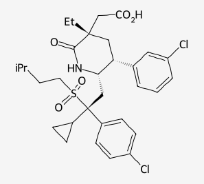 CC[C@@]1(CC(=O)O)C[C@H](c2cccc(Cl)c2)[C@H](C[C@@](c2ccc(Cl)cc2)(C2CC2)S(=O)(=O)CCC(C)C)NC1=O